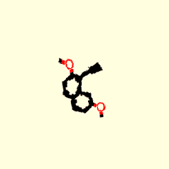 C#Cc1c(OC)ccc2ccc(OC)cc12